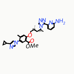 COC(=O)c1cc(-n2cnc(C3CC3)c2)c(C)cc1OC[C@H](C)C[C@H](C)n1cnnc1-c1cccc(N)n1